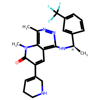 Cc1nnc(N[C@H](C)c2cccc(C(F)(F)F)c2)c2cc(C3=CCCNC3)c(=O)n(C)c12